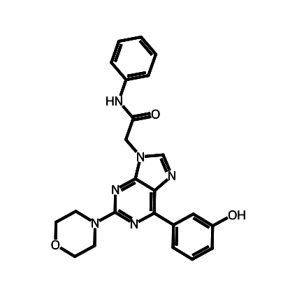 O=C(Cn1cnc2c(-c3cccc(O)c3)nc(N3CCOCC3)nc21)Nc1ccccc1